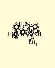 CCCc1cccc(CC)c1-n1cc(CCC)n(Cc2ccc(-c3ccccc3-c3nnn[nH]3)cn2)c1=O